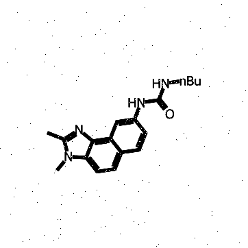 CCCCNC(=O)Nc1ccc2ccc3c(nc(C)n3C)c2c1